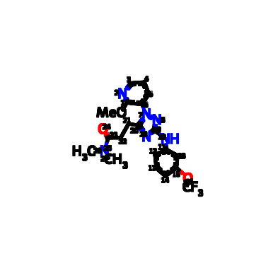 COc1ncccc1-n1nc(Nc2cccc(OC(F)(F)F)c2)nc1CCC(=O)N(C)C